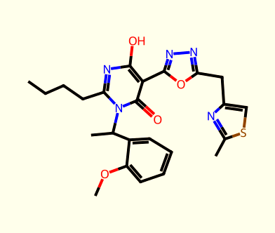 CCCCc1nc(O)c(-c2nnc(Cc3csc(C)n3)o2)c(=O)n1C(C)c1ccccc1OC